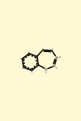 [C]1=Cc2ccccc2ON=N1